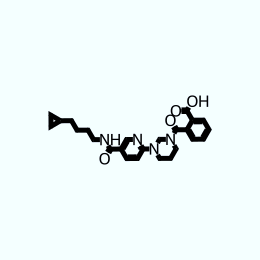 O=C(NCCCCC1CC1)c1ccc(N2CCCN(C(=O)c3ccccc3C(=O)O)C2)nc1